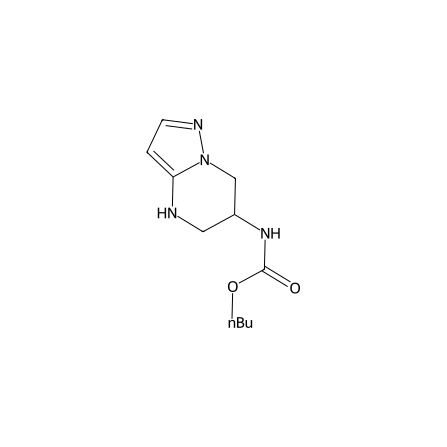 CCCCOC(=O)NC1CNc2ccnn2C1